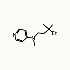 CCC(C)(C)CCN(C)c1ccncc1